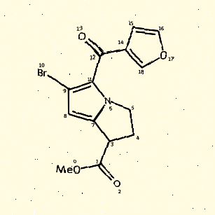 COC(=O)C1CCn2c1cc(Br)c2C(=O)c1ccoc1